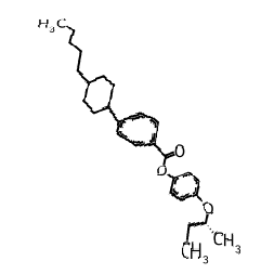 CCCCCC1CCC(c2ccc(C(=O)Oc3ccc(O[C@H](C)CC)cc3)cc2)CC1